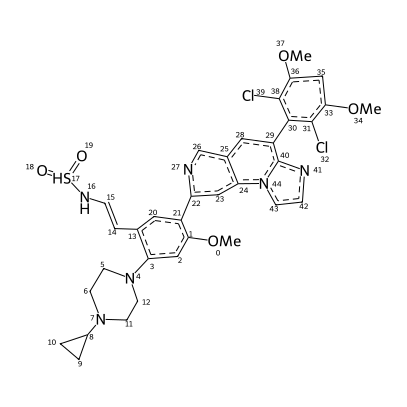 COc1cc(N2CCN(C3CC3)CC2)c(C=CN[SH](=O)=O)cc1-c1cc2c(cn1)cc(-c1c(Cl)c(OC)cc(OC)c1Cl)c1nccn12